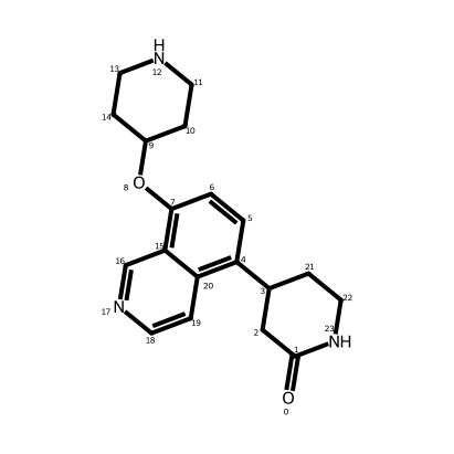 O=C1CC(c2ccc(OC3CCNCC3)c3cnccc23)CCN1